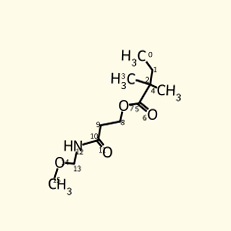 CCC(C)(C)C(=O)OCCC(=O)NCOC